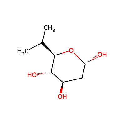 CC(C)[C@H]1O[C@H](O)C[C@@H](O)[C@@H]1O